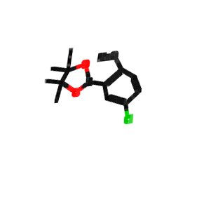 COc1ccc(Cl)cc1B1OC(C)(C)C(C)(C)O1